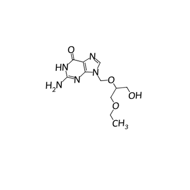 CCOCC(CO)OCn1cnc2c(=O)[nH]c(N)nc21